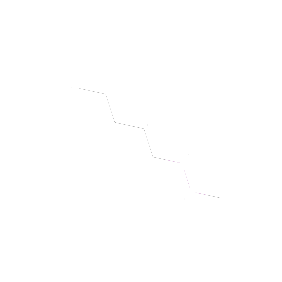 CCCCCCCC[P][P]C